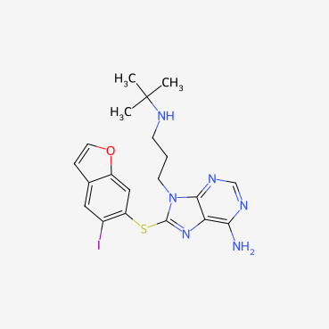 CC(C)(C)NCCCn1c(Sc2cc3occc3cc2I)nc2c(N)ncnc21